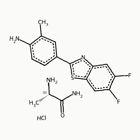 C[C@H](N)C(N)=O.Cc1cc(-c2nc3cc(F)c(F)cc3s2)ccc1N.Cl